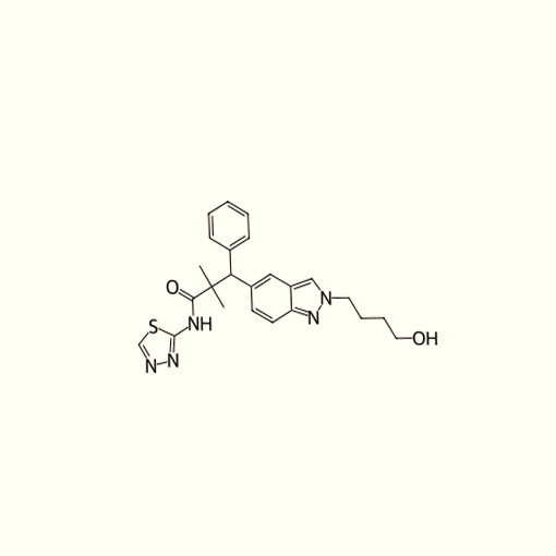 CC(C)(C(=O)Nc1nncs1)C(c1ccccc1)c1ccc2nn(CCCCO)cc2c1